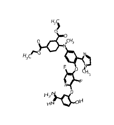 CCOC(=O)C1CCC(N(C)c2ccc(Oc3c(F)cnc(Oc4cc(C(=N)N)ccc4O)c3F)c(C3N=CCN3C)c2)C(C(=O)OCC)C1